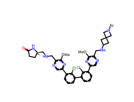 COc1nc(-c2cccc(-c3cccc(-c4cnc(CNC5CC6(C5)CN(C(C)=O)C6)c(OC)n4)c3Cl)c2Cl)cnc1CNC[C@H]1CCC(=O)N1